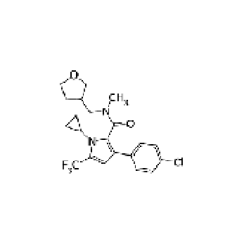 CN(CC1CCOC1)C(=O)c1c(-c2ccc(Cl)cc2)cc(C(F)(F)F)n1C1CC1